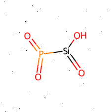 O=[Si](O)P(=O)=O